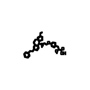 CCc1ccc2c(c1)CCc1cc(CCc3ccccc3)ccc1C2N(C)CCOc1ccc(CC(OC)C(=O)O)cc1